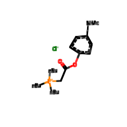 CCCC[P+](CCCC)(CCCC)CC(=O)Oc1ccc(NC(C)=O)cc1.[Cl-]